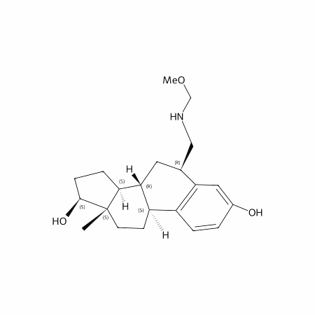 COCNC[C@@H]1C[C@@H]2[C@H](CC[C@]3(C)[C@@H](O)CC[C@@H]23)c2ccc(O)cc21